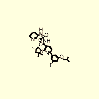 CC(C)COc1cc(F)cc(-c2ccc(C(=O)NS(=O)(=O)Nc3cccnc3)c(N3C[C@@H](C)CC3(C)C)n2)c1